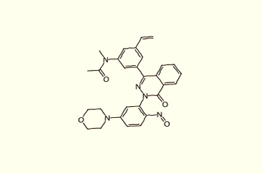 C=Cc1cc(-c2nn(-c3cc(N4CCOCC4)ccc3N=O)c(=O)c3ccccc23)cc(N(C)C(C)=O)c1